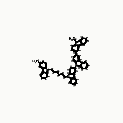 Cc1ccc2c(c1)c1ccccc1n2CCCCCCn1c2ccccc2c2cc(-n3c4ccccc4c4cc(-c5ccc6c(c5)c5ccccc5n6C)ccc43)ccc21